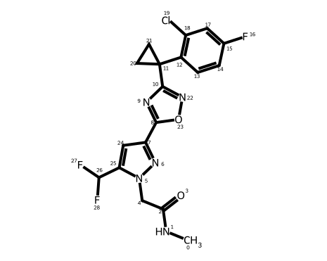 CNC(=O)Cn1nc(-c2nc(C3(c4ccc(F)cc4Cl)CC3)no2)cc1C(F)F